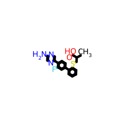 CCC(CSc1ccccc1-c1ccc(-c2cnc(N)cn2)c(F)c1)C(=O)O